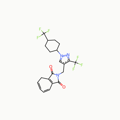 O=C1C2=C(CC=CC=C2)C(=O)N1Cc1cn(C2CCC(C(F)(F)F)CC2)nc1C(F)(F)F